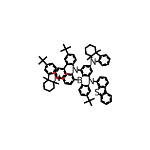 CC(C)(C)c1ccc(N2c3cc(N4c5ccc(C(C)(C)C)cc5C5(C)CCCCC45C)ccc3B3c4ccc(C(C)(C)C)cc4N(c4cccc5c4sc4ccccc45)c4cc(N5c6ccccc6C6(C)CCCCC56C)cc2c43)c(-c2ccccc2)c1